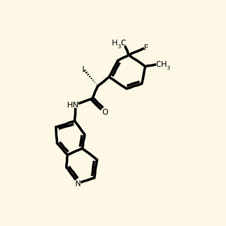 CC1C=CC([C@@H](I)C(=O)Nc2ccc3cnccc3c2)=CC1(C)F